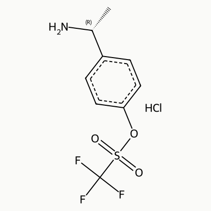 C[C@@H](N)c1ccc(OS(=O)(=O)C(F)(F)F)cc1.Cl